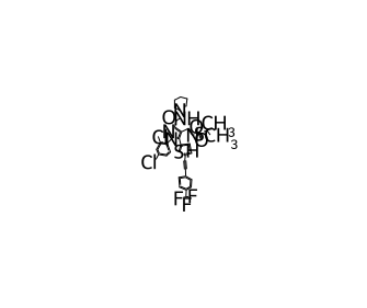 CC(C)S(=O)(=O)NCc1c(C(=O)NN2CCCCC2)nn(-c2ccc(Cl)cc2Cl)c1-c1ccc(C#Cc2ccc(C(F)(F)F)cc2)s1